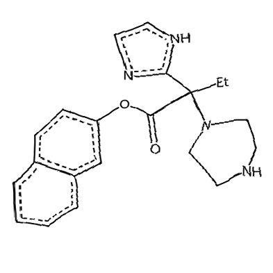 CCC(C(=O)Oc1ccc2ccccc2c1)(c1ncc[nH]1)N1CCNCC1